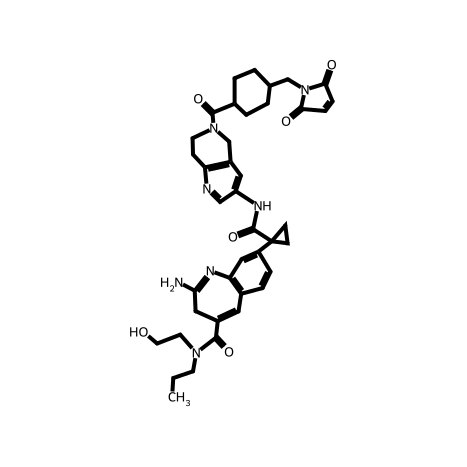 CCCN(CCO)C(=O)C1=Cc2ccc(C3(C(=O)Nc4cnc5c(c4)CN(C(=O)C4CCC(CN6C(=O)C=CC6=O)CC4)CC5)CC3)cc2N=C(N)C1